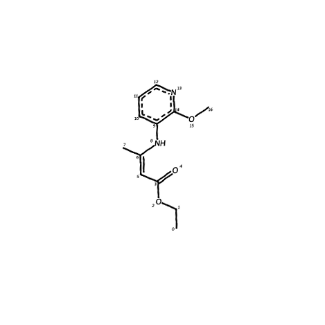 CCOC(=O)/C=C(/C)Nc1cccnc1OC